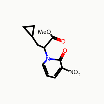 COC(=O)C(CC1CC1)n1cccc([N+](=O)[O-])c1=O